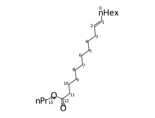 CCCCCCC=CCCCCCCCCCC(=O)OCCC